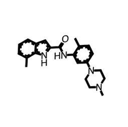 Cc1ccc(N2CCN(C)CC2)cc1NC(=O)c1cc2cccc(C)c2[nH]1